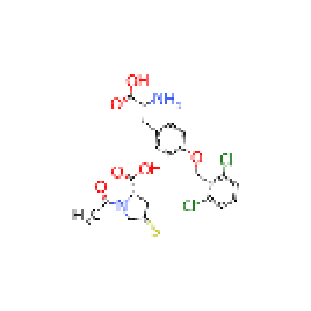 CC(=O)N1CC(=S)C[C@H]1C(=O)O.N[C@@H](Cc1ccc(OCc2c(Cl)cccc2Cl)cc1)C(=O)O